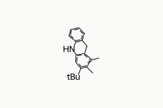 Cc1c(C(C)(C)C)cc2c(c1C)Cc1ccccc1N2